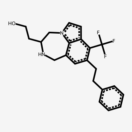 OCCC1Cn2ccc3c(C(F)(F)F)c(CCc4ccccc4)cc(c32)CN1